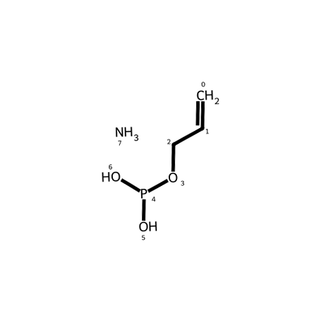 C=CCOP(O)O.N